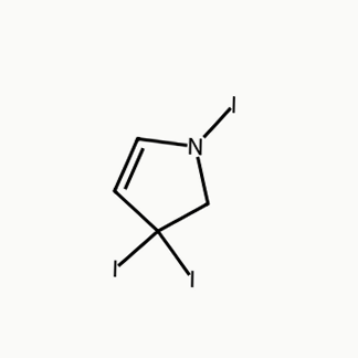 IN1C=CC(I)(I)C1